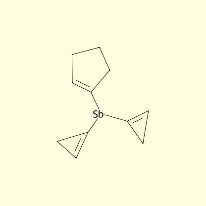 C1=[C]([Sb]([C]2=CC2)[C]2=CCCC2)C1